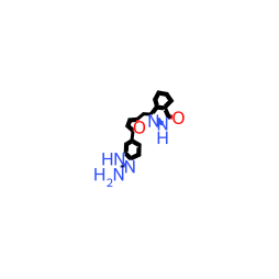 Nc1nc2ccc(-c3ccc(Cc4n[nH]c(=O)c5ccccc45)o3)cc2[nH]1